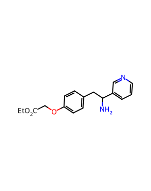 CCOC(=O)COc1ccc(CC(N)c2cccnc2)cc1